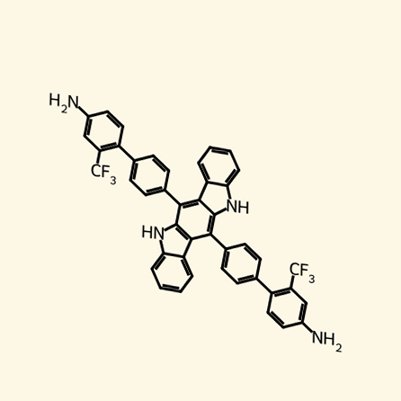 Nc1ccc(-c2ccc(-c3c4[nH]c5ccccc5c4c(-c4ccc(-c5ccc(N)cc5C(F)(F)F)cc4)c4[nH]c5ccccc5c34)cc2)c(C(F)(F)F)c1